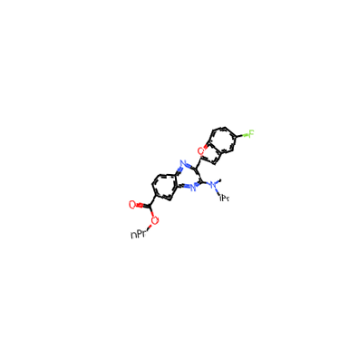 CCCOC(=O)c1ccc2nc(-c3cc4cc(F)ccc4o3)c(N(C)C(C)C)nc2c1